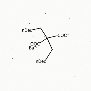 CCCCCCCCCCCC(CCCCCCCCCCC)(C(=O)[O-])C(=O)[O-].[Ba+2]